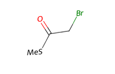 CSC(=O)CBr